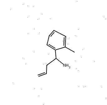 C=CCC(N)c1ccccc1C